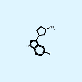 N[C@@H]1CC[C@H](c2c[nH]c3ccc(F)cc23)C1